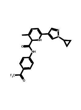 CC1=CC=C(c2cnn(C3CC3)c2)NC1C(=O)Nc1ccc(C(=O)C(F)(F)F)cc1